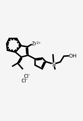 CC(C)=C1C(C2=CC([Si](C)(C)CCO)=CC2)=[C]([Zr+2])c2ccccc21.[Cl-].[Cl-]